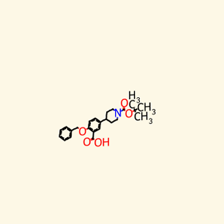 CC(C)(C)OC(=O)N1CCC(c2ccc(OCc3ccccc3)c(C(=O)O)c2)CC1